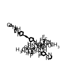 COC(=O)N[C@H](C(=O)N[C@@H](Cc1ccc(C#Cc2ccc(N3CC4[C@@H]3CN4C3COC3)nc2)cc1)[C@@H](O)CN(Cc1c(F)cc(-c2ncccn2)cc1F)NC(=O)[C@@H](NC(=O)OC)C(C)(C)C(F)(F)F)C(C)(C)C(F)(F)F